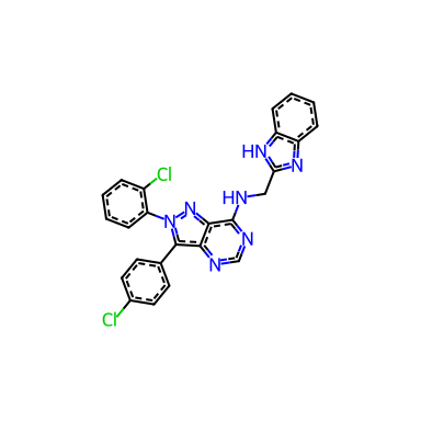 Clc1ccc(-c2c3ncnc(NCc4nc5ccccc5[nH]4)c3nn2-c2ccccc2Cl)cc1